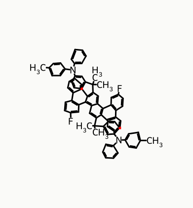 Cc1ccc(N(c2ccccc2)c2ccc3c(c2)C(C)(C)c2cc4c(-c5cc(F)ccc5-c5ccccc5)c5c(cc4c(-c4cc(F)ccc4-c4ccccc4)c2-3)C(C)(C)c2cc(N(c3ccccc3)c3ccc(C)cc3)ccc2-5)cc1